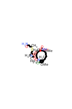 COc1cc2cc(c1Cl)N(C)C(=O)C[C@H](OC(=O)[C@H](C)N(C)C(=O)CCSSC(C)CCC(N)=O)[C@]1(C)O[C@H]1[C@H](C)[C@@H]1C[C@@](O)(NC(=O)O1)[C@H](OC)/C=C/C=C(\C)C2